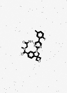 Cc1ccc(F)c(-c2cnc(N3CC4(COC4)c4ccc(C(=O)N(C)CC(N)=O)cc43)nc2)c1